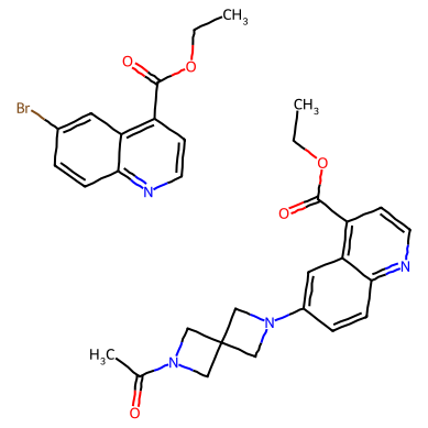 CCOC(=O)c1ccnc2ccc(Br)cc12.CCOC(=O)c1ccnc2ccc(N3CC4(CN(C(C)=O)C4)C3)cc12